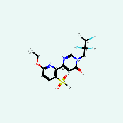 CCS(=O)(=O)c1ccc(OCC(F)(F)F)nc1-c1cc(=O)n(CC(F)(F)C(F)C(F)(F)F)cn1